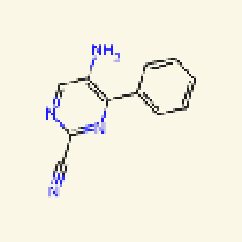 N#Cc1ncc(N)c(-c2ccccc2)n1